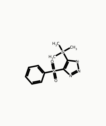 C[Si](C)(C)C1=C(S(=O)(=O)c2ccccc2)N=N[N]1